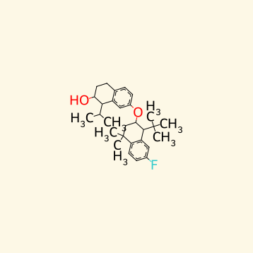 CC(C)C1c2cc(OC3CC(C)(C)c4ccc(F)cc4C3C(C)(C)C)ccc2CCC1O